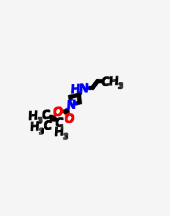 CCCNC1CN(C(=O)OC(C)(C)C)C1